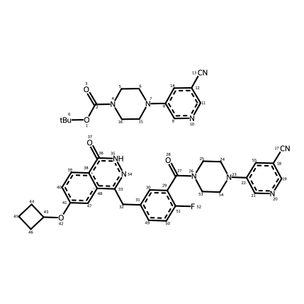 CC(C)(C)OC(=O)N1CCN(c2cncc(C#N)c2)CC1.N#Cc1cncc(N2CCN(C(=O)c3cc(Cc4n[nH]c(=O)c5ccc(OC6CCC6)cc45)ccc3F)CC2)c1